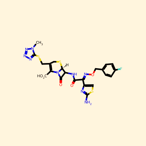 Cn1nnnc1SCC1=C(C(=O)O)N2C(=O)C(NC(=O)C(=NOCc3ccc(F)cc3)c3csc(N)n3)[C@@H]2SC1